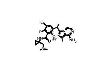 Cc1nc(C(C)c2cc(Cl)c(F)c(C(=O)NC3(CN(C)C)CC3)c2OC(C)C)n2ccnc(N)c12